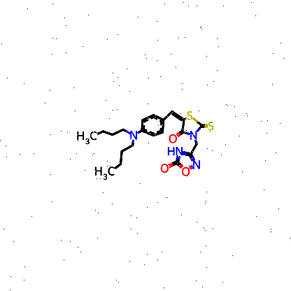 CCCCN(CCCC)c1ccc(C=C2SC(=S)N(Cc3noc(=O)[nH]3)C2=O)cc1